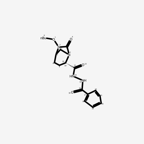 CCCCON1C(=O)N2CC1CC[C@H]2C(=O)NNC(=O)c1ccccc1